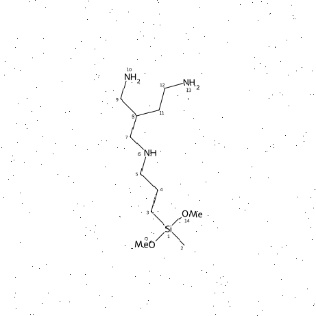 CO[Si](C)(CCCNCC(CN)CCN)OC